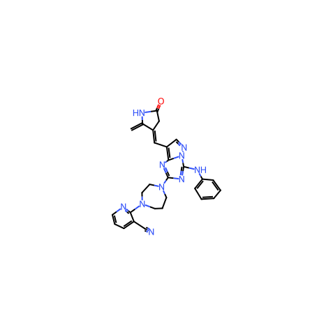 C=C1NC(=O)C/C1=C\c1cnn2c(Nc3ccccc3)nc(N3CCCN(c4ncccc4C#N)CC3)nc12